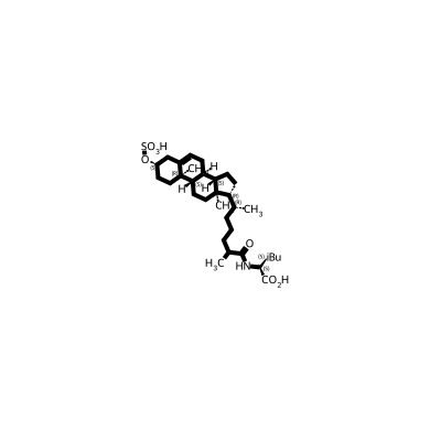 CC[C@H](C)[C@H](NC(=O)C(C)CCC[C@@H](C)[C@H]1CC[C@H]2[C@@H]3CC=C4C[C@@H](OS(=O)(=O)O)CC[C@]4(C)[C@H]3CC[C@]12C)C(=O)O